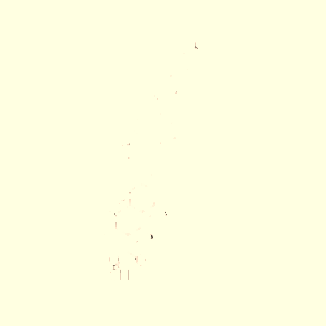 CCCCCCC1CCC2CC(c3cc(F)c4c(F)c(C(=O)OC)ccc4c3)CCC2C1